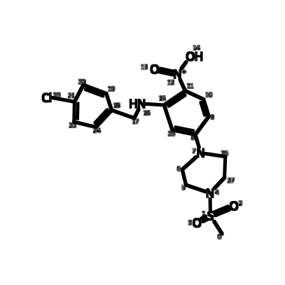 CS(=O)(=O)N1CCN(c2ccc([N+](=O)O)c(NCc3ccc(Cl)cc3)c2)CC1